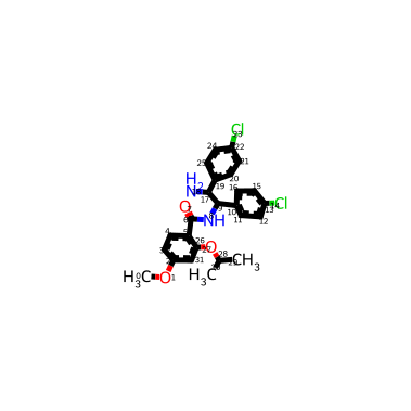 COc1ccc(C(=O)NC(c2ccc(Cl)cc2)C(N)c2ccc(Cl)cc2)c(OC(C)C)c1